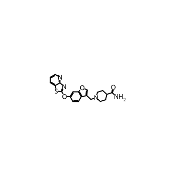 NC(=O)C1CCN(Cc2coc3cc(Oc4nc5ncccc5s4)ccc23)CC1